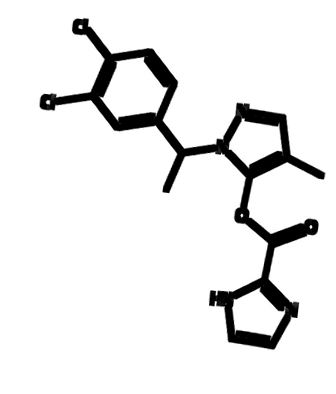 Cc1cnn(C(C)c2ccc(Cl)c(Cl)c2)c1OC(=O)c1ncc[nH]1